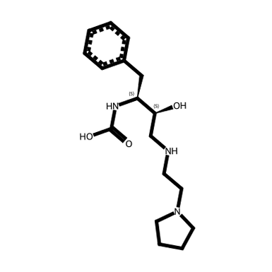 O=C(O)N[C@@H](Cc1ccccc1)[C@@H](O)CNCCN1CCCC1